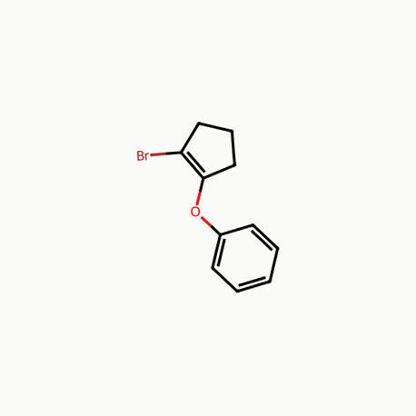 BrC1=C(Oc2ccccc2)CCC1